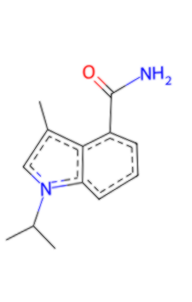 Cc1cn(C(C)C)c2cccc(C(N)=O)c12